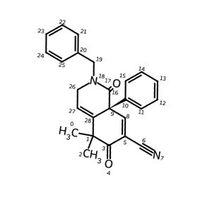 CC1(C)C(=O)C(C#N)=C[C@@]2(c3ccccc3)C(=O)N(Cc3ccccc3)CC=C12